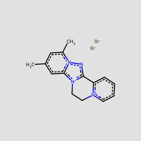 Cc1cc(C)n2nc3[n+](c2c1)CC[n+]1ccccc1-3.[Br-].[Br-]